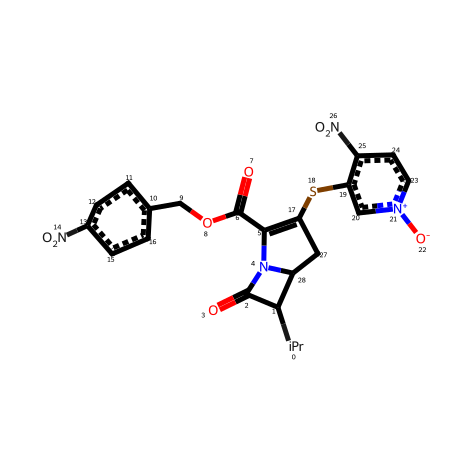 CC(C)C1C(=O)N2C(C(=O)OCc3ccc([N+](=O)[O-])cc3)=C(Sc3c[n+]([O-])ccc3[N+](=O)[O-])CC12